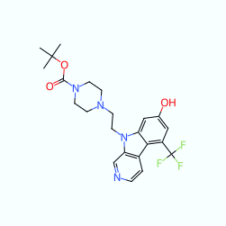 CC(C)(C)OC(=O)N1CCN(CCn2c3cnccc3c3c(C(F)(F)F)cc(O)cc32)CC1